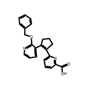 O=C(O)c1cccc(C2=C(c3cccnc3OCc3ccccc3)CCC2)n1